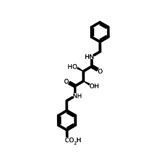 O=C(O)c1ccc(CNC(=O)[C@H](O)[C@@H](O)C(=O)NCc2ccccc2)cc1